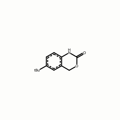 CC(C)(C)c1ccc2c(c1)COC(=O)N2